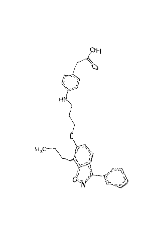 CCCc1c(OCCCNc2ccc(CC(=O)O)cc2)ccc2c(-c3ccccc3)noc12